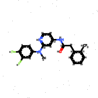 CC(=O)N(c1ccc(F)c(F)c1)c1cc(NC(=O)Cc2ccccc2C(F)(F)F)ccn1